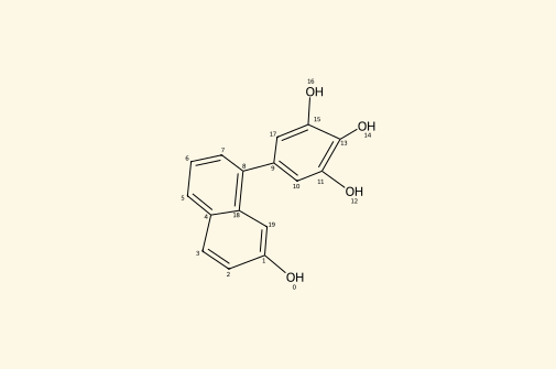 Oc1ccc2cccc(-c3cc(O)c(O)c(O)c3)c2c1